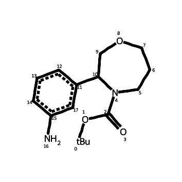 CC(C)(C)OC(=O)N1CCCOCC1c1cccc(N)c1